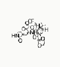 CC1(C)[C@@H]2[C@@H](C(=O)N[C@@H](C[C@@H]3CCNC3=O)C(=O)COC(F)(F)F)N(C(=O)[C@@H]3COCCO3)C[C@@H]21